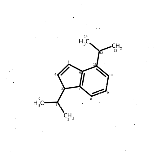 CC(C)[C]1C=Cc2c1cccc2C(C)C